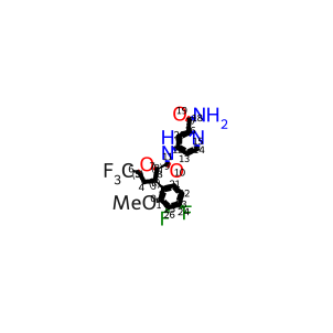 COc1c([C@H]2C[C@@H](C(F)(F)F)O[C@H]2C(=O)Nc2ccnc(C(N)=O)c2)ccc(F)c1F